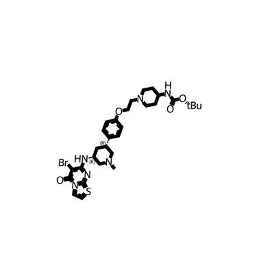 CN1C[C@H](Nc2nc3sccn3c(=O)c2Br)C[C@H](c2ccc(OCCN3CCC(NC(=O)OC(C)(C)C)CC3)cc2)C1